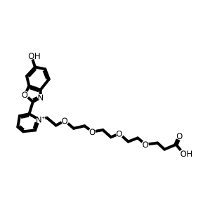 O=C(O)CCOCCOCCOCCOCC[n+]1ccccc1-c1nc2ccc(O)cc2o1